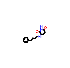 O=C1CCC(NCCCCc2ccccc2)C(=O)N1